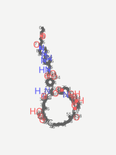 CCCOCCC(=O)N1CCN(c2ncc(CNC(=O)O[C@@H]3CC[C@@H](C[C@@H](N)[C@@H]4CC(=O)[C@H](C)/C=C(\C)[C@@H](O)[C@@H](OC)C(=O)[C@H](C)C[C@H](C)/C=C/C=C/C=C(\C)[C@@H](OC)C[C@@H]5CC[C@@H](C)[C@@](O)(O5)C(=O)C(O)N5CCCC[C@H]5C(=O)O4)C[C@H]3OC)cn2)CC1